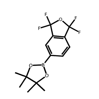 CC1(C)OB(c2ccc3c(c2)C(F)(F)OC3(F)F)OC1(C)C